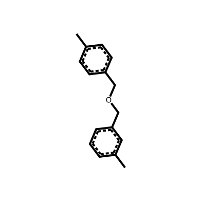 Cc1ccc(COCc2cccc(C)c2)cc1